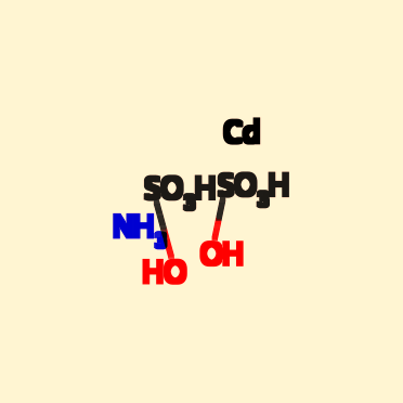 N.O=S(=O)(O)O.O=S(=O)(O)O.[Cd]